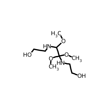 COC(NCCO)C(NCCO)(OC)OC